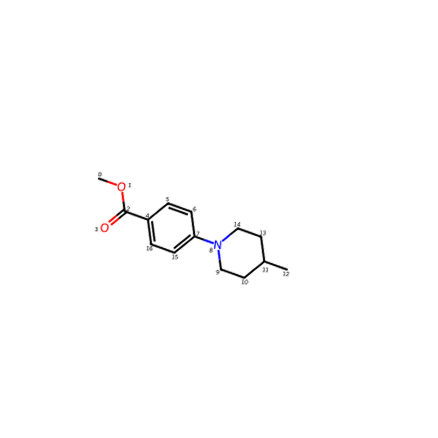 COC(=O)c1ccc(N2CCC(C)CC2)cc1